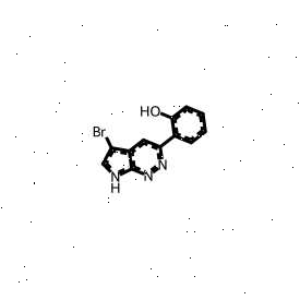 Oc1ccccc1-c1cc2c(Br)c[nH]c2nn1